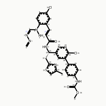 C=N/N=C\N(N)c1ccc(Cl)cc1/C=C/C(=O)N[C@@H](Cc1nc(C)cs1)c1cc(-c2ccc(NC(=O)OC)cc2)c(Cl)nn1